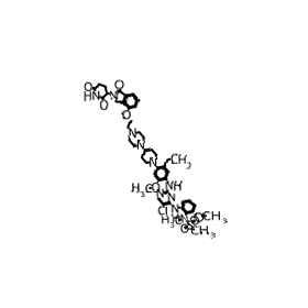 CCc1cc(Nc2ncc(Cl)c(Nc3cccc(OC)c3N(C)S(C)(=O)=O)n2)c(OC)cc1N1CCC(N2CCN(CCOc3cccc4c3CN(C3CCC(=O)NC3=O)C4=O)CC2)CC1